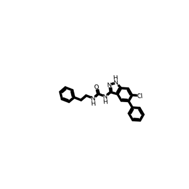 O=C(NCCc1ccccc1)Nc1n[nH]c2cc(Cl)c(-c3ccccc3)cc12